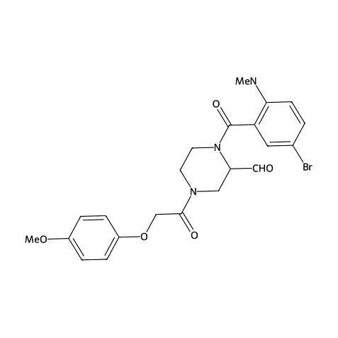 CNc1ccc(Br)cc1C(=O)N1CCN(C(=O)COc2ccc(OC)cc2)CC1C=O